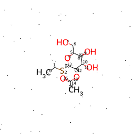 CCS[C@@H]1OC(CO)[C@@H](O)C(O)[C@@H]1OC(C)=O